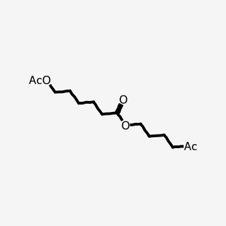 CC(=O)CCCCOC(=O)CCCCCOC(C)=O